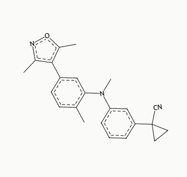 Cc1ccc(-c2c(C)noc2C)cc1N(C)c1cccc(C2(C#N)CC2)c1